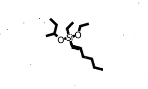 CCCCC=C[Si](CC)(OCC)OC(C)CC